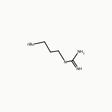 CCCCCCC[N]C(=N)N